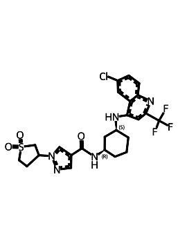 O=C(N[C@@H]1CCC[C@H](Nc2cc(C(F)(F)F)nc3ccc(Cl)cc23)C1)c1cnn(C2CCS(=O)(=O)C2)c1